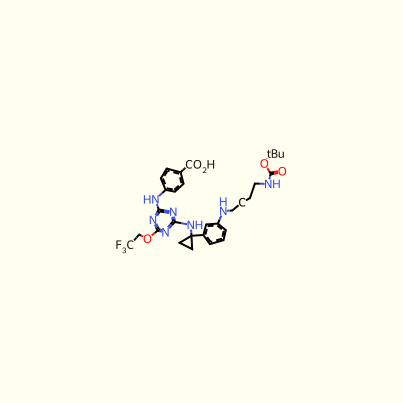 CC(C)(C)OC(=O)NCCCCNc1cccc(C2(Nc3nc(Nc4ccc(C(=O)O)cc4)nc(OCC(F)(F)F)n3)CC2)c1